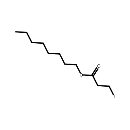 CCCCCCCCOC(=O)CCI